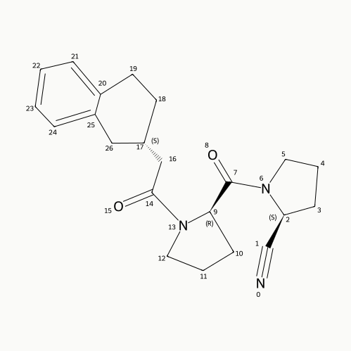 N#C[C@@H]1CCCN1C(=O)[C@H]1CCCN1C(=O)C[C@H]1CCc2ccccc2C1